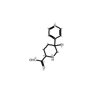 CCC1(c2ccncc2)CCC(C(=O)C=O)NC1